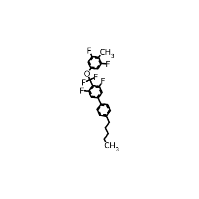 CCCCCc1ccc(-c2cc(F)c(C(F)(F)Oc3cc(F)c(C)c(F)c3)c(F)c2)cc1